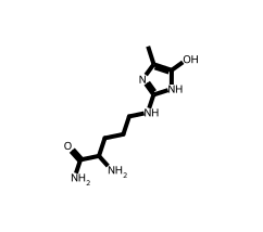 Cc1nc(NCCCC(N)C(N)=O)[nH]c1O